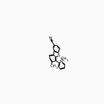 Cc1ccc2c(sc3ccc(C#N)cc32)c1-c1cccc[n+]1C